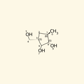 C[C@@H]1C[C@@H](CO)C(O)[C@H]1O